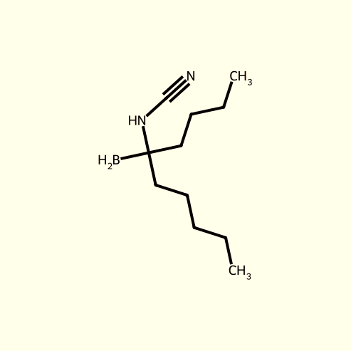 BC(CCCC)(CCCCC)NC#N